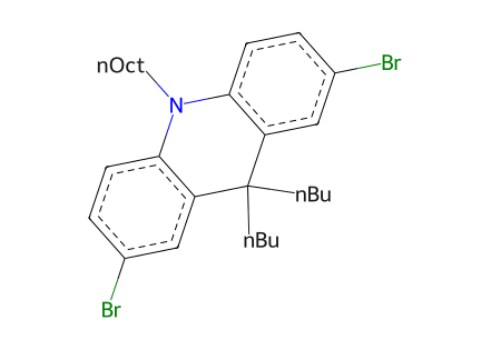 CCCCCCCCN1c2ccc(Br)cc2C(CCCC)(CCCC)c2cc(Br)ccc21